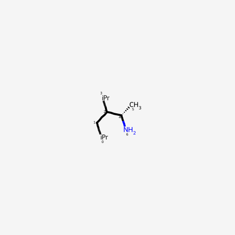 CC(C)CC(C(C)C)[C@H](C)N